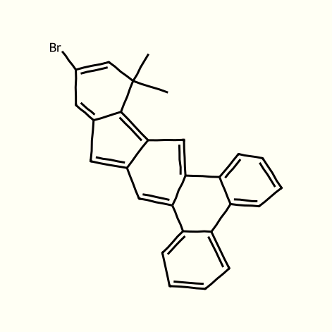 CC1(C)C=C(Br)C=C2C=c3cc4c5ccccc5c5ccccc5c4cc3=C21